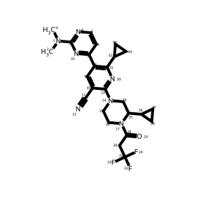 CN(C)c1nccc(-c2cc(C#N)c(N3CCN(C(=O)CC(F)(F)F)C(C4CC4)C3)nc2C2CC2)n1